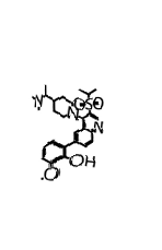 COc1cccc(-c2ccc3ncc(S(=O)(=O)C(C)C)c(N4CCC(C(C)N(C)C)CC4)c3c2)c1O